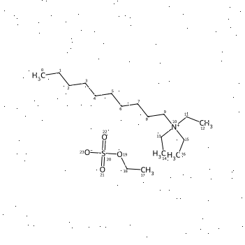 CCCCCCCCCC[N+](CC)(CC)CC.CCOS(=O)(=O)[O-]